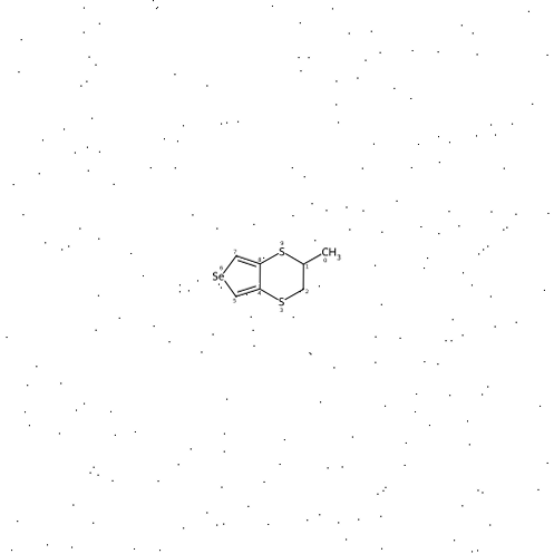 CC1CSc2c[se]cc2S1